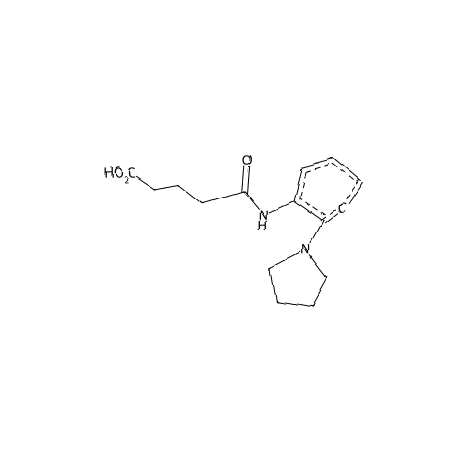 O=C(O)CCCC(=O)Nc1ccccc1N1CCCC1